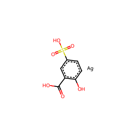 O=C(O)c1cc(S(=O)(=O)O)ccc1O.[Ag]